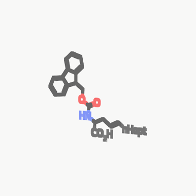 CCCCCCCC=CC[C@H](NC(=O)OCC1c2ccccc2-c2ccccc21)C(=O)O